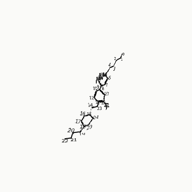 CCCCCc1ccc(-c2ccc(CC[C@H]3CC[C@H](CCCC)CC3)c(F)c2)nn1